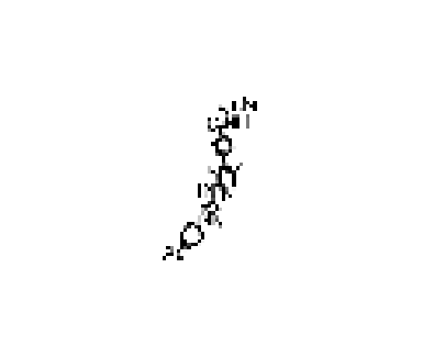 CC(=O)N1CCC(n2cc(Nc3ncc(C)c(-c4ccc(C(=O)N[C@@H](C)C#N)cc4)n3)cn2)CC1